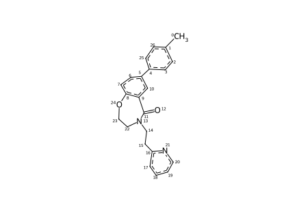 Cc1ccc(-c2ccc3c(c2)C(=O)N(CCc2ccccn2)CCO3)cc1